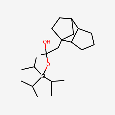 CC(C)[Si](OC(C)(O)CC12CCC(C1)C1CCCC12)(C(C)C)C(C)C